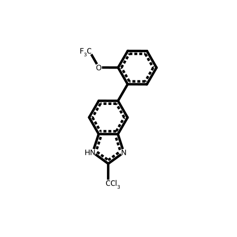 FC(F)(F)Oc1ccccc1-c1ccc2[nH]c(C(Cl)(Cl)Cl)nc2c1